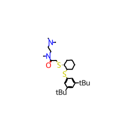 CN(C)CCN(C)C(=O)CS[C@@H]1CCCC[C@H]1Sc1cc(C(C)(C)C)cc(C(C)(C)C)c1